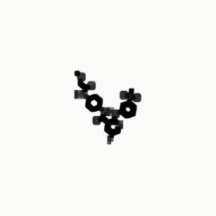 COCC(=O)N[C@H]1CC[C@@H](NC(=O)c2cc(F)cnc2Oc2cccc(S(C)(=O)=O)c2)CC1